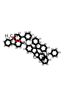 CC1(C)c2ccccc2-c2ccc(N(c3ccc4c(c3)C3(c5ccccc5-c5ccc(N(c6ccccc6)c6ccccc6)cc53)c3c-4oc4ccccc34)c3ccccc3-c3ccccc3)cc21